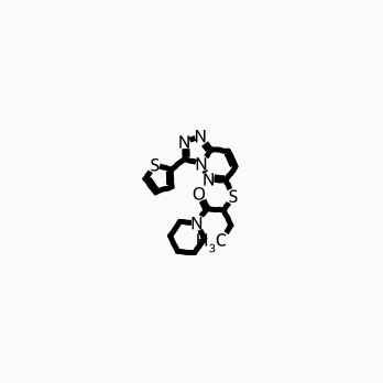 CCC(Sc1ccc2nnc(-c3cccs3)n2n1)C(=O)N1CCCCC1